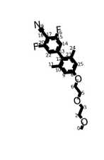 COCCOCCOc1cc(C)c(-c2cc(F)c(C#N)c(F)c2)c(C)c1